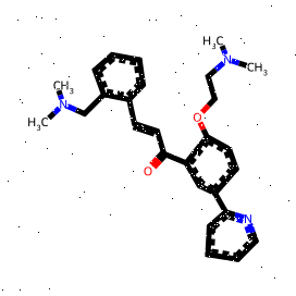 CN(C)CCOc1ccc(-c2ccccn2)cc1C(=O)C=Cc1ccccc1CN(C)C